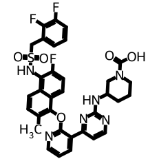 Cc1ccc2c(NS(=O)(=O)Cc3cccc(F)c3F)c(F)ccc2c1Oc1ncccc1-c1ccnc(NC2CCCN(C(=O)O)C2)n1